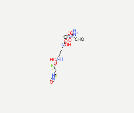 NC(=O)C(CCC=O)N1C(=O)c2cccc(OCC(O)NCCCCCCCCNC(O)COC/C(F)=C(F)\C=C/Cc3csc(N4CCOCC4)n3)c2C1=O